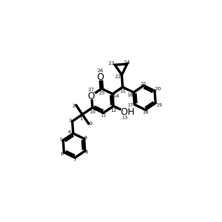 CC(C)(Cc1ccccc1)c1cc(O)c(C(c2ccccc2)C2CC2)c(=O)o1